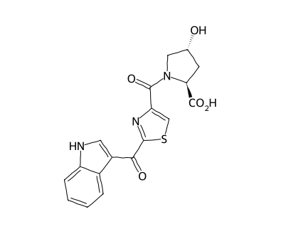 O=C(c1nc(C(=O)N2C[C@H](O)C[C@H]2C(=O)O)cs1)c1c[nH]c2ccccc12